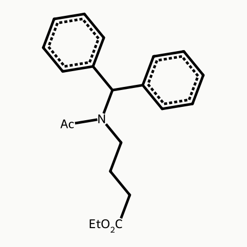 CCOC(=O)CCCN(C(C)=O)C(c1ccccc1)c1ccccc1